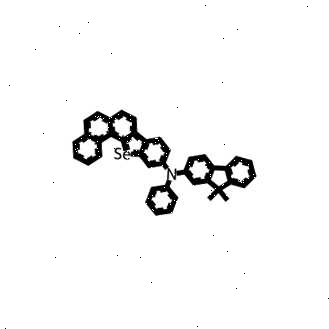 CC1(C)c2ccccc2-c2ccc(N(c3ccccc3)c3ccc4c(c3)[se]c3c4ccc4ccc5ccccc5c43)cc21